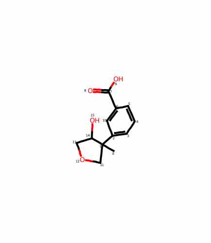 CC1(c2cccc(C(=O)O)c2)COCC1O